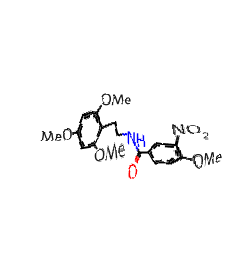 COc1cc(OC)c(CCNC(=O)c2ccc(OC)c([N+](=O)[O-])c2)c(OC)c1